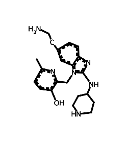 Cc1ccc(O)c(Cn2c(NC3CCNCC3)nc3ccc(CCN)cc32)n1